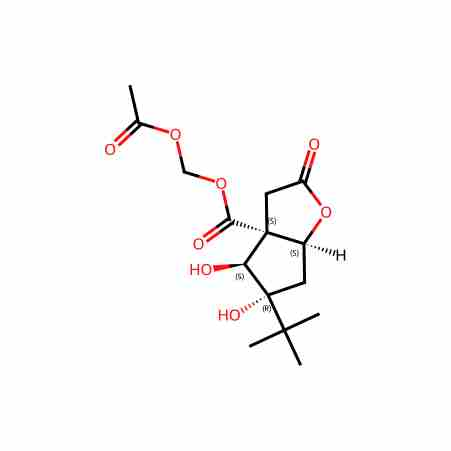 CC(=O)OCOC(=O)[C@]12CC(=O)O[C@H]1C[C@@](O)(C(C)(C)C)[C@H]2O